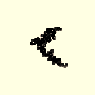 C#CCN1C(=O)COc2cc(F)c(N3C(=O)C4=C(CCCC4)C3=O)cc21.CC1COc2ccccc2N1C(=O)C(Cl)Cl.CCNc1nc(Cl)nc(NC(C)(C)C)n1.CCc1cccc(C)c1N(C(=O)CCl)C(C)COC.O=C(O)CNCP(=O)(O)O